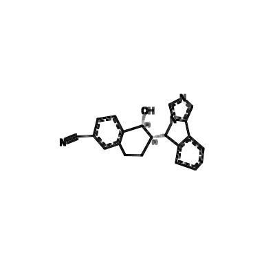 N#Cc1ccc2c(c1)CC[C@@H](C1c3ccccc3-c3cncn31)[C@H]2O